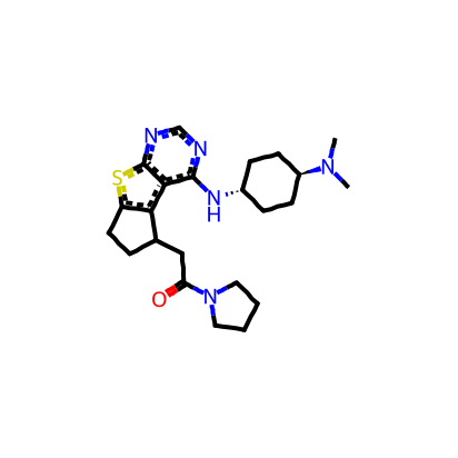 CN(C)[C@H]1CC[C@H](Nc2ncnc3sc4c(c23)C(CC(=O)N2CCCC2)CC4)CC1